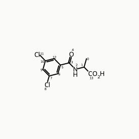 CC(NC(=O)c1cc(Cl)cc(Cl)c1)C(=O)O